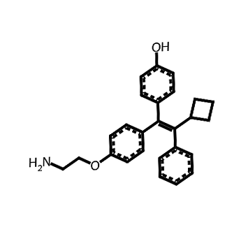 NCCOc1ccc(/C(=C(\c2ccccc2)C2CCC2)c2ccc(O)cc2)cc1